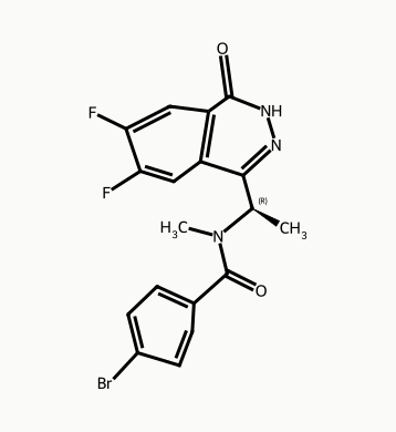 C[C@H](c1n[nH]c(=O)c2cc(F)c(F)cc12)N(C)C(=O)c1ccc(Br)cc1